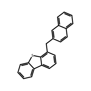 c1ccc2cc(Cc3cccc4c3sc3ccccc34)ccc2c1